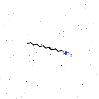 CCCCCCC/C=C/CCCN